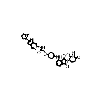 CN1CCC[C@@H]1c1cc2cnc(NC(=O)COC3CCC(Nc4cccc5c4C(=O)N(C4CCC(=O)NC4=O)C5=O)CC3)cc2[nH]1